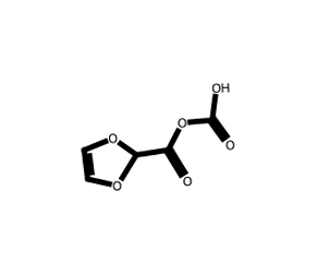 O=C(O)OC(=O)C1OC=CO1